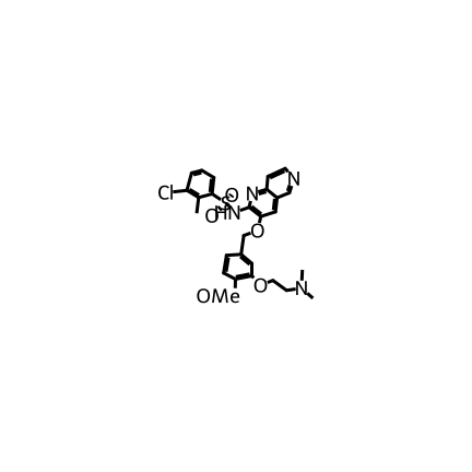 COc1ccc(COc2cc3cnccc3nc2NS(=O)(=O)c2cccc(Cl)c2C)cc1OCCN(C)C